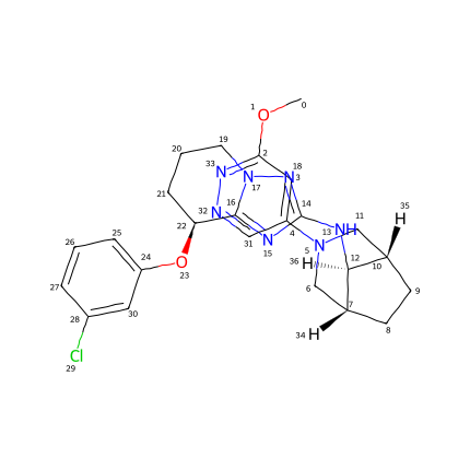 COc1cc(N2C[C@H]3CC[C@@H](C2)[C@@H]3Nc2nc3n(n2)CCC[C@@H]3Oc2cccc(Cl)c2)cnn1